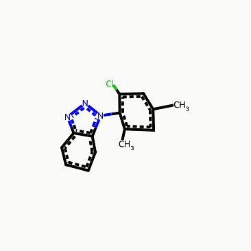 Cc1cc(C)c(-n2nnc3ccccc32)c(Cl)c1